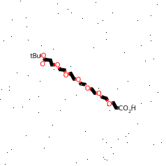 CC(C)(C)OC(=O)CCOCCOCCOCCOCCOCCOCCC(=O)O